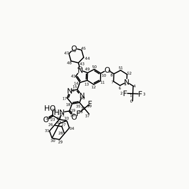 CC(F)(F)CN1CCC(Oc2ccc3c(-c4ncc(C(=O)NC5(C(=O)O)C6CC7CC(C6)CC5C7)c(C(C)(F)F)n4)cn(C4CCOCC4)c3c2)CC1